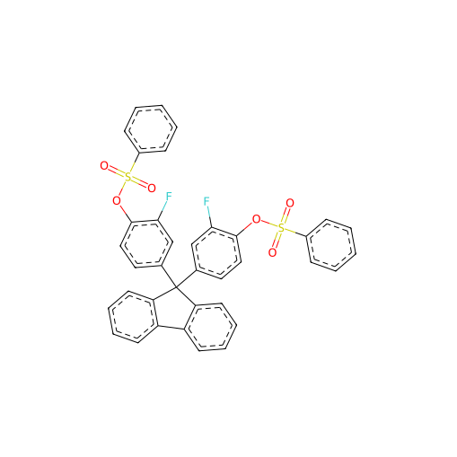 O=S(=O)(Oc1ccc(C2(c3ccc(OS(=O)(=O)c4ccccc4)c(F)c3)c3ccccc3-c3ccccc32)cc1F)c1ccccc1